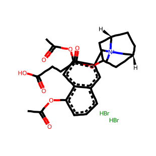 Br.Br.CC(=O)Oc1cc2c(OC(C)=O)cccc2cc1C[N+]1(C)[C@@H]2CC[C@H]1CC(OC(=O)CCC(=O)O)C2